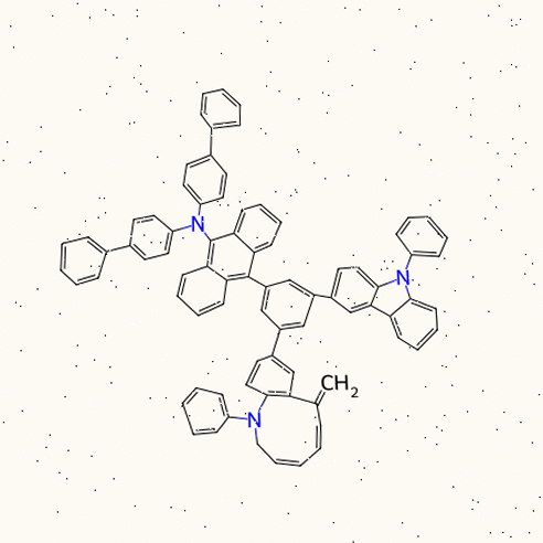 C=C1/C=C\C=C/CN(c2ccccc2)c2ccc(-c3cc(-c4ccc5c(c4)c4ccccc4n5-c4ccccc4)cc(-c4c5ccccc5c(N(c5ccc(-c6ccccc6)cc5)c5ccc(-c6ccccc6)cc5)c5ccccc45)c3)cc21